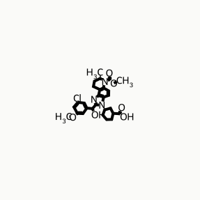 COC(=O)N1c2ccc3c(nc(C(O)c4cc(Cl)cc(OC)c4)n3C3CCCC(C(=O)O)C3)c2CC[C@@H]1C